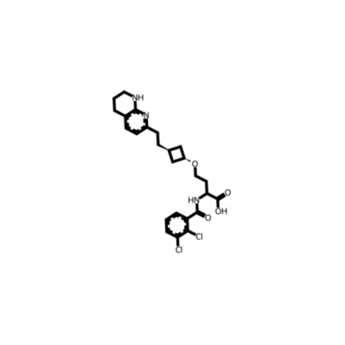 O=C(NC(CCO[C@H]1C[C@H](CCc2ccc3c(n2)NCCC3)C1)C(=O)O)c1cccc(Cl)c1Cl